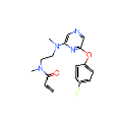 C=CC(=O)N(C)CCN(C)c1cncc(Oc2ccc(F)cc2)n1